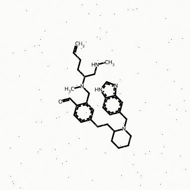 C=CCCC(CNC)N(C)Cc1cc(CCC2CCCCN2Cc2ccc3[nH]cnc3c2)ccc1C=O